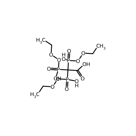 CCOOP(=O)(O)C(C(=O)O)(P(=O)(O)OOCC)P(=O)(O)OOCC